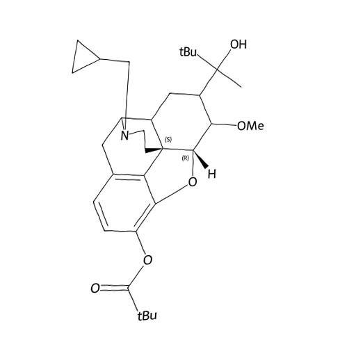 COC1C(C(C)(O)C(C)(C)C)CC2C3Cc4ccc(OC(=O)C(C)(C)C)c5c4[C@@]2(CCN3CC2CC2)[C@H]1O5